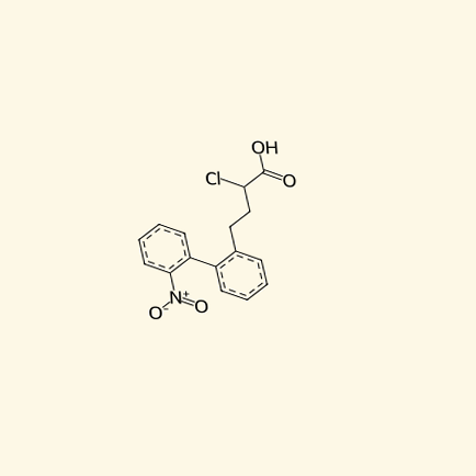 O=C(O)C(Cl)CCc1ccccc1-c1ccccc1[N+](=O)[O-]